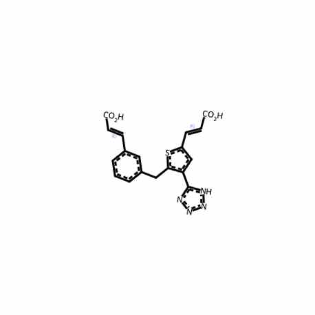 O=C(O)/C=C/c1cccc(Cc2sc(/C=C/C(=O)O)cc2-c2nnn[nH]2)c1